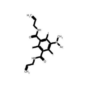 C=CCNC(=O)c1c(I)c(C(=O)NCC=C)c(I)c(N(C)C(C)=O)c1I